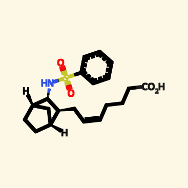 O=C(O)CCC/C=C\C[C@H]1[C@@H]2CC[C@@H](C2)[C@@H]1NS(=O)(=O)c1ccccc1